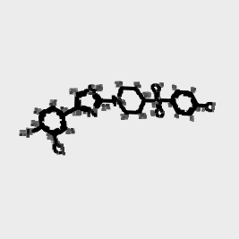 O=S(=O)(c1ccc(Cl)cc1)C1CCN(c2nc(-c3ccc(F)c(Cl)c3)cs2)CC1